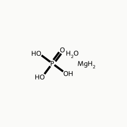 O.O=P(O)(O)O.[MgH2]